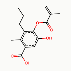 C=C(C)C(=O)Oc1c(O)cc(C(=O)O)c(C)c1CCC